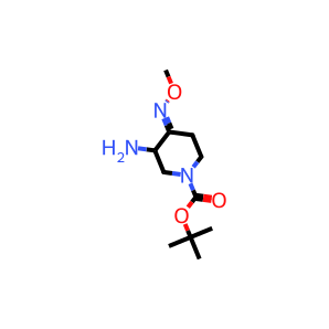 CON=C1CCN(C(=O)OC(C)(C)C)CC1N